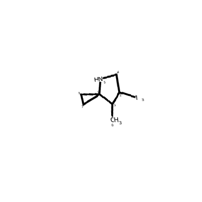 CC1C(I)CNC12CC2